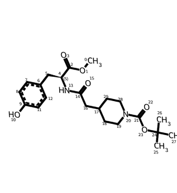 COC(=O)[C@H](Cc1ccc(O)cc1)NC(=O)CC1CCN(C(=O)OC(C)(C)C)CC1